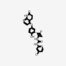 O=C1CCc2c(Oc3ccc(O)c([C@@H]4[C@@H]5CC45NC(=O)Nc4cc(Cl)ccn4)c3)ccnc2N1